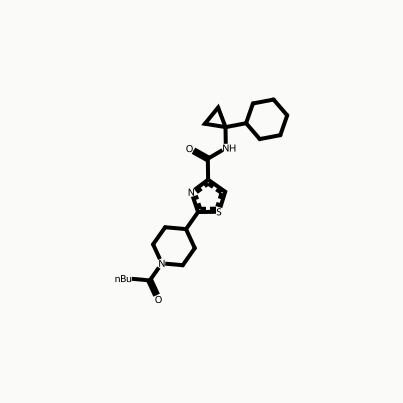 CCCCC(=O)N1CCC(c2nc(C(=O)NC3(C4CCCCC4)CC3)cs2)CC1